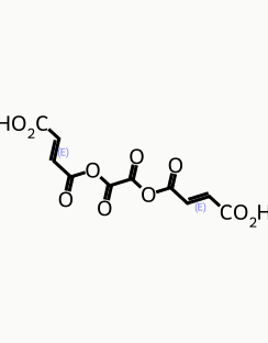 O=C(O)/C=C/C(=O)OC(=O)C(=O)OC(=O)/C=C/C(=O)O